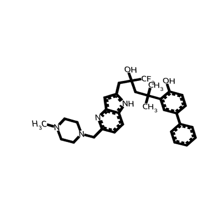 CN1CCN(Cc2ccc3[nH]c(CC(O)(CC(C)(C)c4cc(-c5ccccc5)ccc4O)C(F)(F)F)cc3n2)CC1